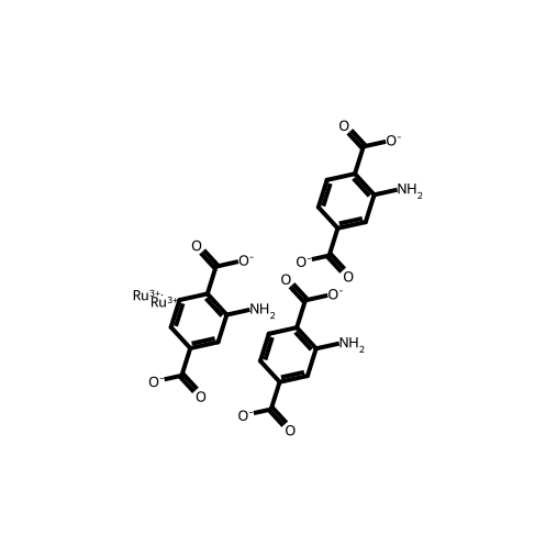 Nc1cc(C(=O)[O-])ccc1C(=O)[O-].Nc1cc(C(=O)[O-])ccc1C(=O)[O-].Nc1cc(C(=O)[O-])ccc1C(=O)[O-].[Ru+3].[Ru+3]